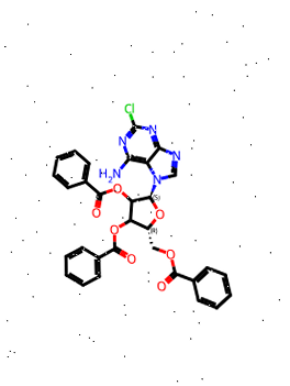 Nc1nc(Cl)nc2ncn([C@H]3O[C@H](COC(=O)c4ccccc4)C(OC(=O)c4ccccc4)C3OC(=O)c3ccccc3)c12